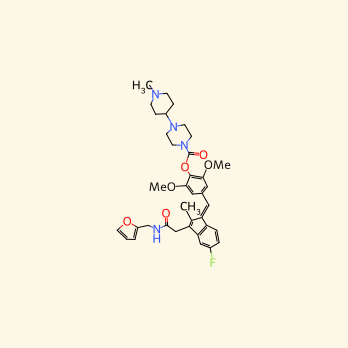 COc1cc(C=C2C(C)=C(CC(=O)NCc3ccco3)c3cc(F)ccc32)cc(OC)c1OC(=O)N1CCN(C2CCN(C)CC2)CC1